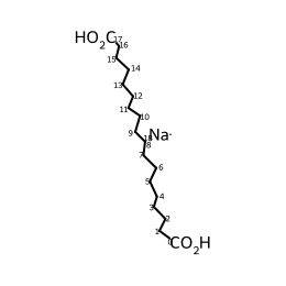 O=C(O)CCCCCCCCCCCCCCCCC(=O)O.[Na]